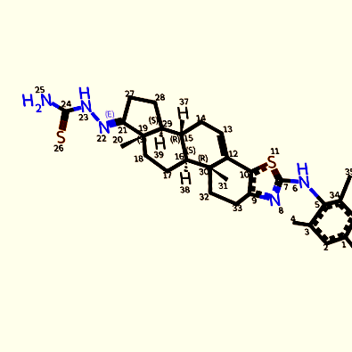 Cc1cc(C)c(Nc2nc3c(s2)C2=CC[C@@H]4[C@H](CC[C@]5(C)/C(=N/NC(N)=S)CC[C@@H]45)[C@@]2(C)CC3)c(C)c1